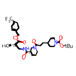 C#C[C@@H](CNC(=O)[C@@H]1CCCN(C(=O)CCC2CCN(C(=O)OC(C)(C)C)CC2)C1)C(=O)OCc1ccc(C(F)(F)F)cc1